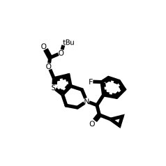 CC(C)(C)OC(=O)Oc1cc2c(s1)CCN(C(C(=O)C1CC1)c1ccccc1F)C2